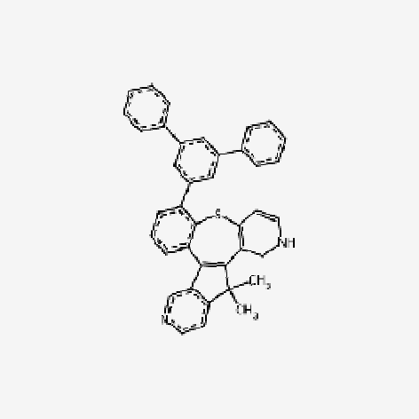 CC1(C)C2=C(c3cnccc31)c1cccc(-c3cc(-c4ccccc4)cc(-c4ccccc4)c3)c1SC1=C2CNC=C1